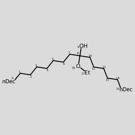 CCCCCCCCCCCCCCCCCC(O)(CCCCCCCCCCCCCCC)OCC